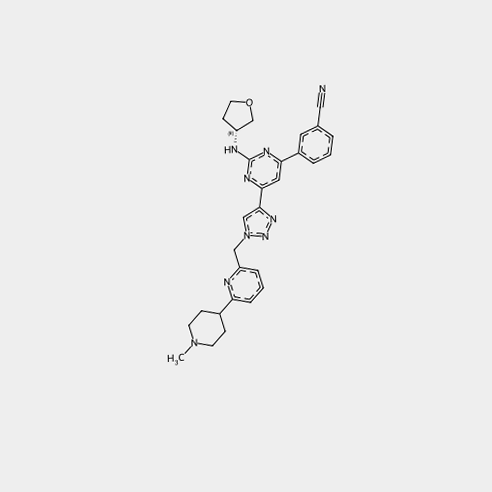 CN1CCC(c2cccc(Cn3cc(-c4cc(-c5cccc(C#N)c5)nc(N[C@@H]5CCOC5)n4)nn3)n2)CC1